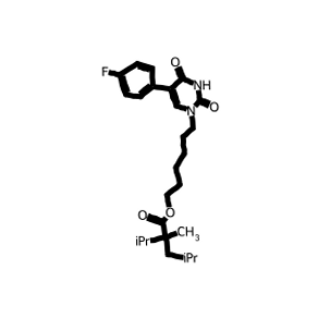 CC(C)CC(C)(C(=O)OCCCCCCn1cc(-c2ccc(F)cc2)c(=O)[nH]c1=O)C(C)C